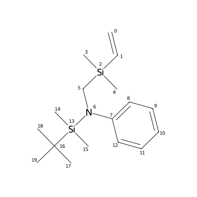 C=C[Si](C)(C)CN(c1ccccc1)[Si](C)(C)C(C)(C)C